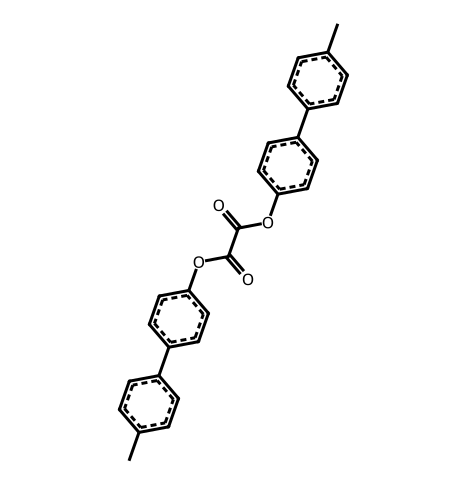 Cc1ccc(-c2ccc(OC(=O)C(=O)Oc3ccc(-c4ccc(C)cc4)cc3)cc2)cc1